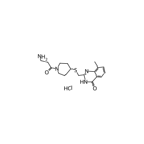 Cc1cccc2c(=O)[nH]c(CSC3CCN(C(=O)CCN)CC3)nc12.Cl